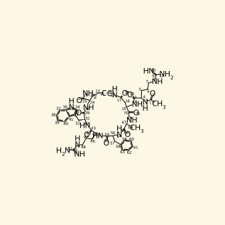 CC(=O)NC(CCCNC(=N)N)C(=O)NC1CC(=O)NCCCCC(C(N)=O)NC(=O)[C@H](Cc2c[nH]c3ccccc23)NC(=O)[C@H](CCCNC(=N)N)NC(=O)C(Cc2ccccc2)NC(=O)[C@H](C)NC1=O